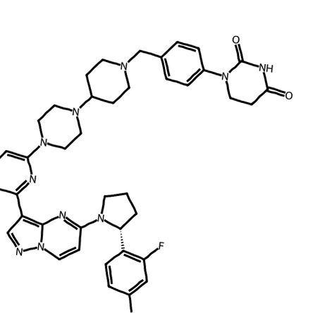 O=C1CCN(c2ccc(CN3CCC(N4CCN(c5cccc(-c6cnn7ccc(N8CCC[C@@H]8c8ccc(F)cc8F)nc67)n5)CC4)CC3)cc2)C(=O)N1